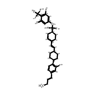 CCCCc1ccc(C2CCC(/C=C/C3CCC(C(F)(F)Oc4cc(F)c(C(F)(F)F)c(F)c4)CC3)CC2)c(F)c1